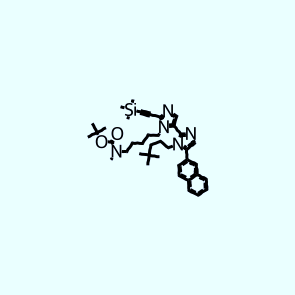 CN(CCCCCn1c(-c2ncc(-c3ccc4ccccc4c3)n2CCCC(C)(C)C)cnc1C#C[Si](C)(C)C)C(=O)OC(C)(C)C